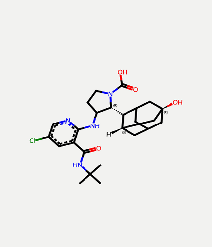 CC(C)(C)NC(=O)c1cc(Cl)cnc1NC1CCN(C(=O)O)[C@@H]1C1C2CC3C[C@H]1C[C@@](O)(C3)C2